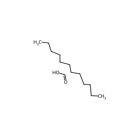 CCCCCCCCCCCC.O=CO